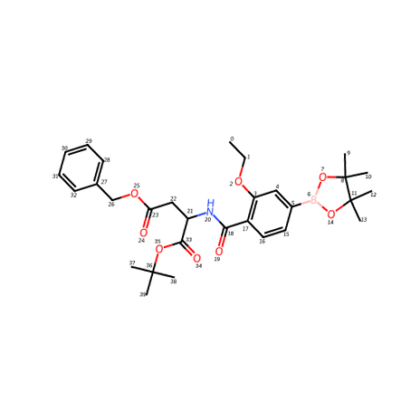 CCOc1cc(B2OC(C)(C)C(C)(C)O2)ccc1C(=O)NC(CC(=O)OCc1ccccc1)C(=O)OC(C)(C)C